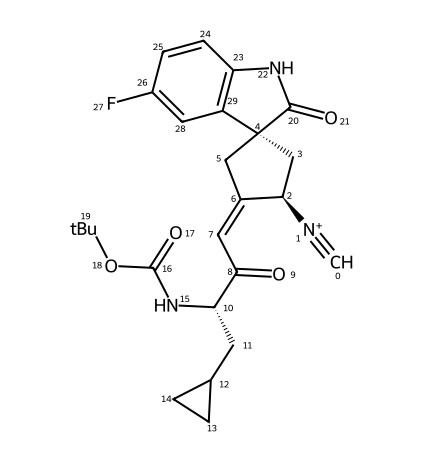 C#[N+][C@@H]1C[C@@]2(C/C1=C/C(=O)[C@H](CC1CC1)NC(=O)OC(C)(C)C)C(=O)Nc1ccc(F)cc12